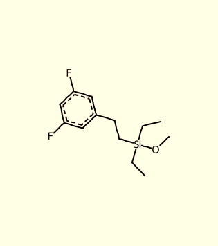 CC[Si](CC)(CCc1cc(F)cc(F)c1)OC